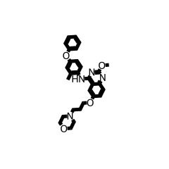 COc1nc(Nc2ccc(Oc3ccccc3)cc2C)c2cc(OCCCN3CCOCC3)ccc2n1